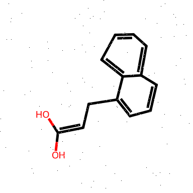 OC(O)=CCc1cccc2ccccc12